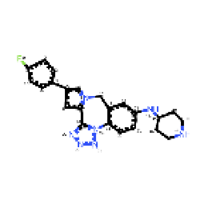 Fc1ccc(-c2cc3n(c2)Cc2cc(NC4CCNCC4)ccc2-n2nnnc2-3)cc1